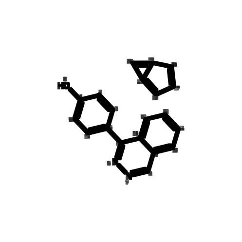 Oc1ccc(-c2nncc3ccccc23)cc1.c1cc2cc-2c1